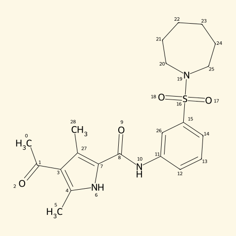 CC(=O)c1c(C)[nH]c(C(=O)Nc2cccc(S(=O)(=O)N3CCCCCC3)c2)c1C